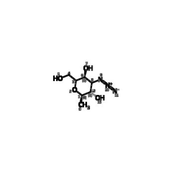 C[C@H]1OC(CO)[C@@H](O)C(N=[N+]=[N-])[C@@H]1O